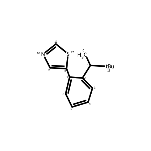 CC(c1ccccc1-c1cncs1)C(C)(C)C